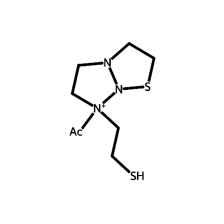 CC(=O)[N+]1(CCS)CCN2CCSN21